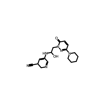 N#CC1C=C(NC(O)Cn2nc(N3CCCCC3)ccc2=O)C=NC1